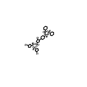 CCC1CCC(P2(=O)OP(=O)(C3CCC(CC)C3)OP(=O)(C3CC(CC)C(C4CCC(P5(=O)OP(=O)(C6CCCCC6)OP(=O)(C6CCCCC6)O5)CC4)C3)O2)C1